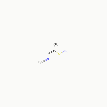 C=N/C=C(/C)SN